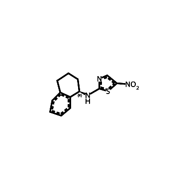 O=[N+]([O-])c1cnc(N[C@@H]2CCCc3ccccc32)s1